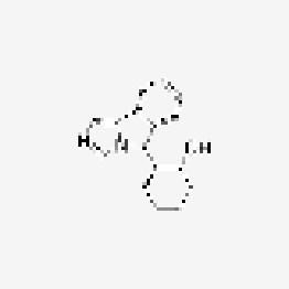 O[C@@H]1CCCC[C@H]1[C@H]1c2ccccc2-c2cncn21